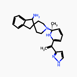 C=C(C1=CC=C[C@](C)(N2CCC3(CC2)Cc2ccccc2C3N)N1)c1cc[nH]n1